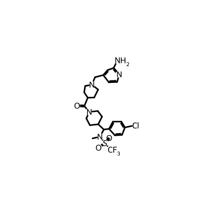 CN(C(c1ccc(Cl)cc1)C1CCN(C(=O)C2CCN(Cc3ccnc(N)c3)CC2)CC1)S(=O)(=O)C(F)(F)F